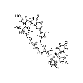 Cc1ncsc1-c1ccc([C@H](C)NC(=O)[C@@H]2C[C@@H](O)CN2C(=O)[C@@H](NC(O)COC[C@H](O)CN2CCN(C(=O)C[C@@H]3N=C(c4ccc(Cl)cc4)c4c(sc(C)c4C)-n4c(C)nnc43)CC2)C(C)(C)C)cc1